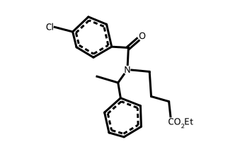 CCOC(=O)CCCN(C(=O)c1ccc(Cl)cc1)C(C)c1ccccc1